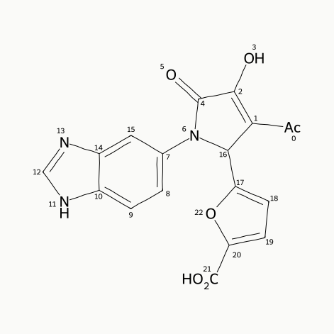 CC(=O)C1=C(O)C(=O)N(c2ccc3[nH]cnc3c2)C1c1ccc(C(=O)O)o1